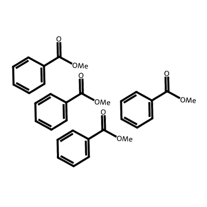 COC(=O)c1ccccc1.COC(=O)c1ccccc1.COC(=O)c1ccccc1.COC(=O)c1ccccc1